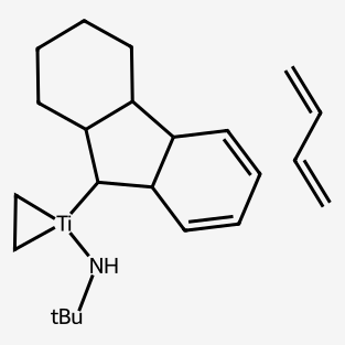 C=CC=C.CC(C)(C)[NH][Ti]1([CH]2C3C=CC=CC3C3CCCCC32)[CH2][CH2]1